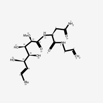 C=CCNC(=O)[C@H](CC(N)=O)NC(=O)[C@H](OC)[C@H](O)[C@@H](O)[C@H](O)/C=C/C(C)(C)C